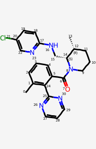 Cc1cccc(C(=O)N2CCC[C@@H](C)[C@H]2CNc2ccc(Cl)cn2)c1-c1ncccn1